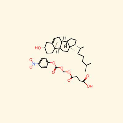 CC(C)CCCC(C)[C@H]1CC[C@H]2[C@@H]3CC=C4C[C@@H](O)CC[C@]4(C)[C@H]3CC[C@]12C.O=C(O)CCC(=O)OCOC(=O)Oc1ccc([N+](=O)[O-])cc1